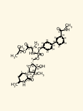 C=C1C=CN([C@@H]2O[C@H](COP(=O)(N[C@@H](C)C(=O)OC(C)C)Oc3ccc(-c4cccc(C(=O)NC)c4)cc3)[C@@H](O)[C@@]2(C)F)C(=O)N1